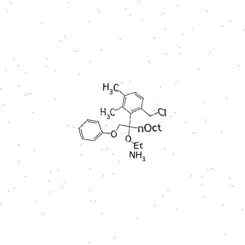 CCCCCCCCC(COc1ccccc1)(OCC)c1c(CCl)ccc(C)c1C.N